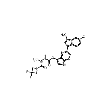 C[C@@H](NC(=O)Oc1c[nH]c2ncc(-c3nn(C)c4cc(Cl)ccc34)nc12)C(=O)N1CC(F)(F)C1